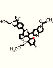 C=CC(=O)N1CCc2ncc(-c3nc(-c4ccc5c(c4)CN(CCO)CC5(F)F)c4ccsc4c3-c3c(F)cc(F)cc3OCCOC)cc2C1